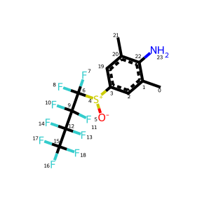 Cc1cc([S+]([O-])C(F)(F)C(F)(F)C(F)(F)C(F)(F)F)cc(C)c1N